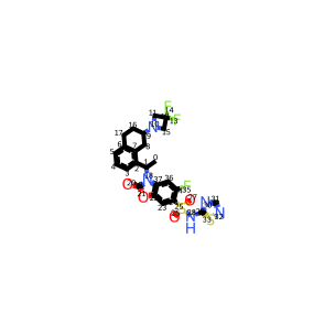 CC(c1cccc2c1CC(N1CC(F)(F)C1)CC2)n1c(=O)oc2cc(S(=O)(=O)Nc3ncns3)c(F)cc21